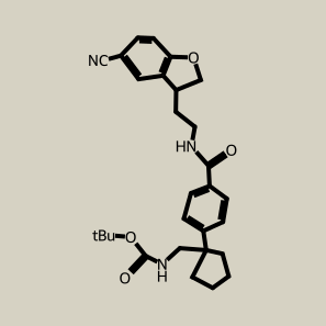 CC(C)(C)OC(=O)NCC1(c2ccc(C(=O)NCCC3COc4ccc(C#N)cc43)cc2)CCCC1